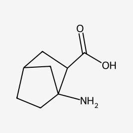 NC12CCC(CC1C(=O)O)C2